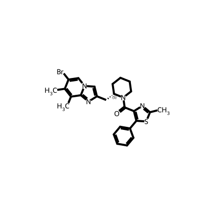 Cc1nc(C(=O)N2CCCC[C@H]2Cc2cn3cc(Br)c(C)c(C)c3n2)c(-c2ccccc2)s1